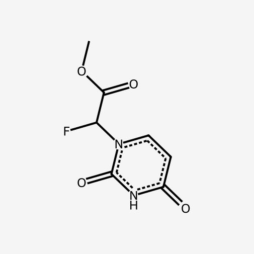 COC(=O)C(F)n1ccc(=O)[nH]c1=O